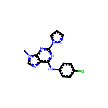 Cn1cnc2c(Nc3ccc(Cl)cc3)nc(-n3cccn3)nc21